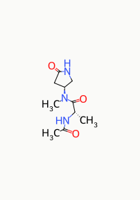 CC(=O)N[C@@H](C)C(=O)N(C)[C@@H]1CNC(=O)C1